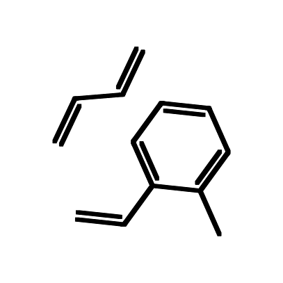 C=CC=C.C=Cc1ccccc1C